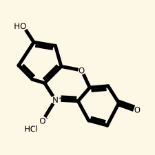 Cl.O=c1ccc2[n+]([O-])c3ccc(O)cc3oc-2c1